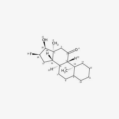 C[C@]12CC(=O)[C@H]3[C@@H](CCC4CCCC[C@@]43C)[C@@H]1C[C@@H](F)[C@H]2O